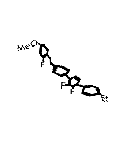 CCc1ccc(-c2ccc(-c3ccc(CCc4ccc(OC)cc4F)cc3)c(F)c2F)cc1